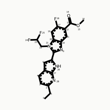 CCc1ccc2cc(-c3nc4cc(C(=O)OC)c(F)cc4n3CC(F)F)[nH]c2n1